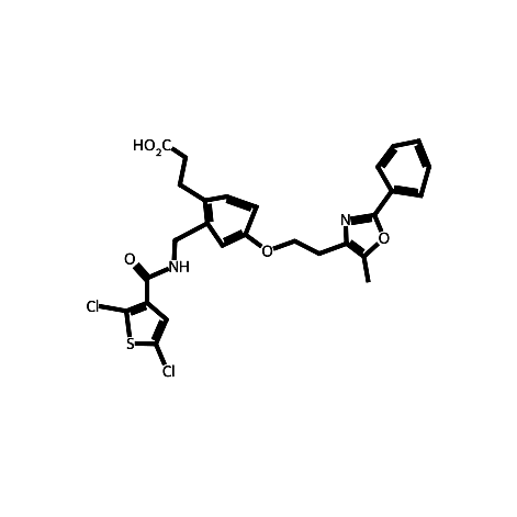 Cc1oc(-c2ccccc2)nc1CCOc1ccc(CCC(=O)O)c(CNC(=O)c2cc(Cl)sc2Cl)c1